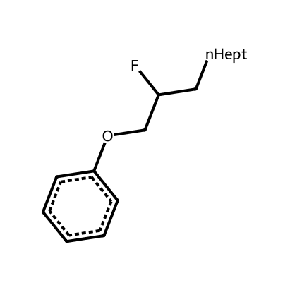 CCCCCCCCC(F)COc1ccccc1